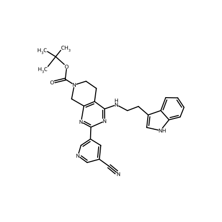 CC(C)(C)OC(=O)N1CCc2c(nc(-c3cncc(C#N)c3)nc2NCCc2c[nH]c3ccccc23)C1